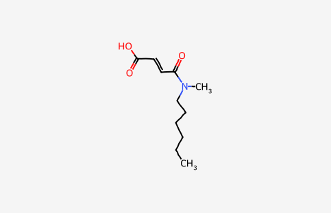 CCCCCCN(C)C(=O)/C=C/C(=O)O